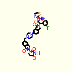 O=C1CCN(N2Cc3cc(CN4CCN(c5ccc6c(c5)C(=O)N(C(C(=O)Nc5nccs5)c5cc(F)ccc5O)C6)CC4)ccc3C2=O)C(=O)N1